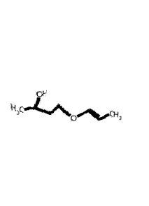 CC=COCCC(C)O